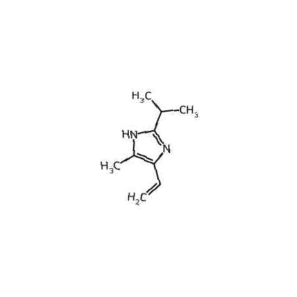 C=Cc1nc(C(C)C)[nH]c1C